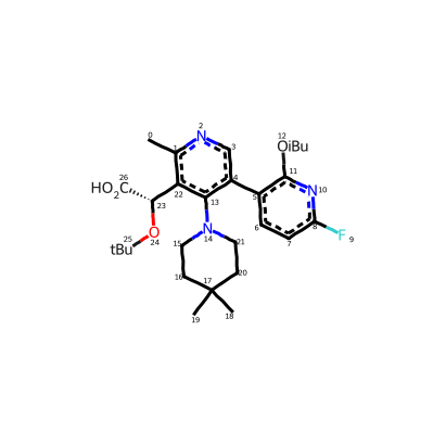 Cc1ncc(-c2ccc(F)nc2OCC(C)C)c(N2CCC(C)(C)CC2)c1[C@H](OC(C)(C)C)C(=O)O